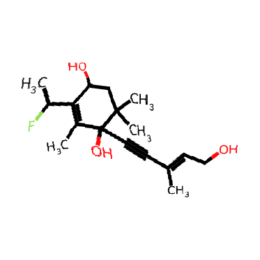 CC(C#CC1(O)C(C)=C(C(C)F)C(O)CC1(C)C)=CCO